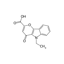 CCn1c2ccccc2c2oc(C(=O)O)cc(=O)c21